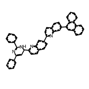 C1=C(c2ccccc2)N=C(c2ccccc2)NC1c1ccc2ccc(-c3ccc4ccc(-c5cc6ccccc6c6ccccc56)cc4n3)cc2n1